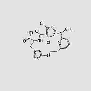 CNc1cccc(CCOc2csc(CC(NC(=O)c3c(Cl)cccc3Cl)C(=O)O)c2)n1